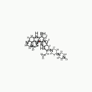 COc1cc(N2CCC(N3CCN(C)CC3)CC2)c(CC2CC2)cc1Nc1ncc(P)c(Nc2ccc3nccnc3c2N(C)SC2CC2)n1